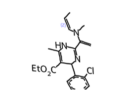 C=C(C1=NC(c2ccccc2Cl)C(C(=O)OCC)=C(C)N1)N(C)/C=C\C